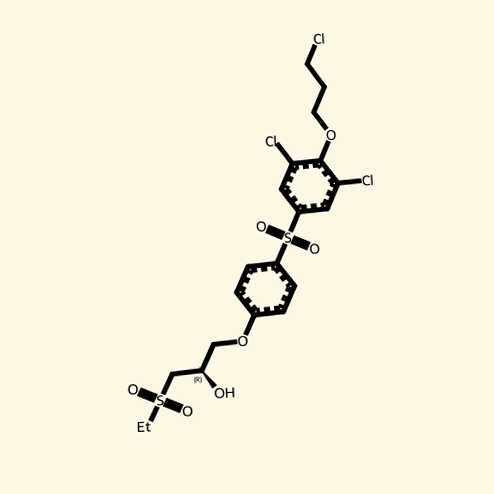 CCS(=O)(=O)C[C@H](O)COc1ccc(S(=O)(=O)c2cc(Cl)c(OCCCCl)c(Cl)c2)cc1